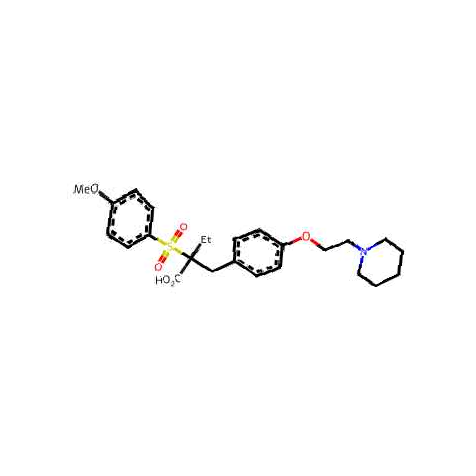 CCC(Cc1ccc(OCCN2CCCCC2)cc1)(C(=O)O)S(=O)(=O)c1ccc(OC)cc1